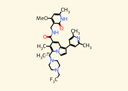 COc1cc(C)[nH]c(=O)c1CNC(=O)c1cc2c(-c3cc(C)nc(C)c3)ccn2c([C@@H](C)N2CCN(CC(F)(F)F)CC2)c1C